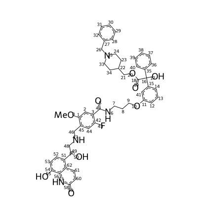 COc1cc(C(=O)NCCCOc2cccc(C(O)(C(=O)OCC3CCN(Cc4ccccc4)CC3)c3ccccc3)c2)c(F)cc1CNC[C@H](O)c1ccc(O)c2[nH]c(=O)ccc12